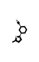 Cc1ccc([C@@H]2CCC[C@H](C#N)C2)o1